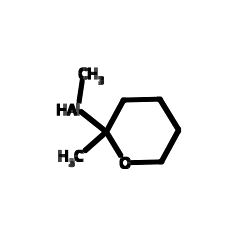 [CH3][AlH][C]1(C)CCCCO1